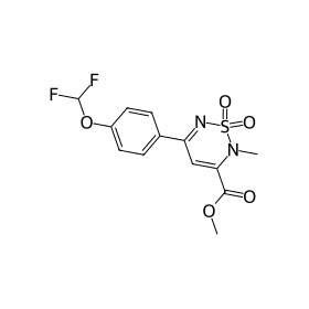 COC(=O)C1=CC(c2ccc(OC(F)F)cc2)=NS(=O)(=O)N1C